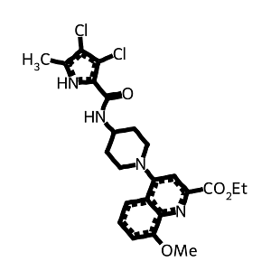 CCOC(=O)c1cc(N2CCC(NC(=O)c3[nH]c(C)c(Cl)c3Cl)CC2)c2cccc(OC)c2n1